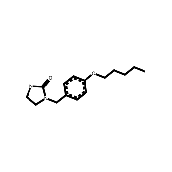 CCCCCOc1ccc(CN2CC[N]C2=O)cc1